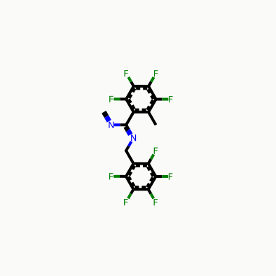 C=N/C(=N\Cc1c(F)c(F)c(F)c(F)c1F)c1c(C)c(F)c(F)c(F)c1F